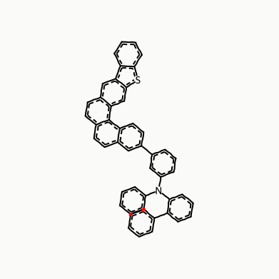 c1ccc(-c2ccccc2N(c2ccccc2)c2cccc(-c3ccc4c(ccc5ccc6cc7c(cc6c54)sc4ccccc47)c3)c2)cc1